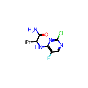 CC(C)C(Nc1nc(Cl)ncc1F)C(N)=O